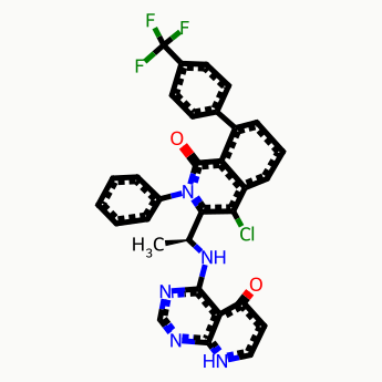 C[C@H](Nc1ncnc2[nH]ccc(=O)c12)c1c(Cl)c2cccc(-c3ccc(C(F)(F)F)cc3)c2c(=O)n1-c1ccccc1